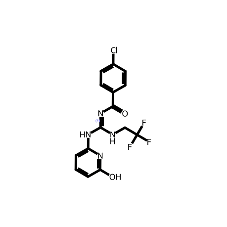 O=C(/N=C(\NCC(F)(F)F)Nc1cccc(O)n1)c1ccc(Cl)cc1